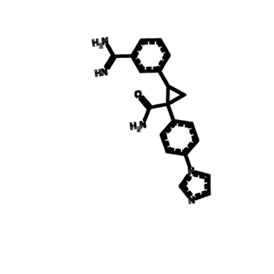 N=C(N)c1cccc(C2CC2(C(N)=O)c2ccc(-n3ccnc3)cc2)c1